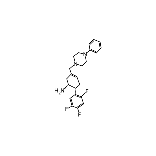 N[C@H]1CC(CN2CCN(c3ccccc3)CC2)=CC[C@@H]1c1cc(F)c(F)cc1F